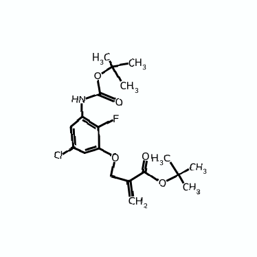 C=C(COc1cc(Cl)cc(NC(=O)OC(C)(C)C)c1F)C(=O)OC(C)(C)C